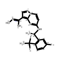 C[C@@H](Nc1ccn2ncc(/C(N)=N/O)c2n1)c1cc(F)ccc1C(C)(F)F